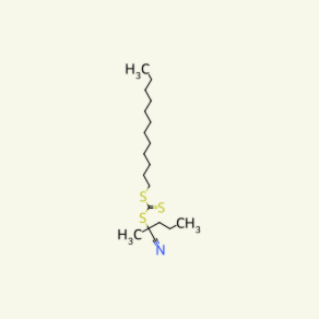 CCCCCCCCCCCCSC(=S)SC(C)(C#N)CCC